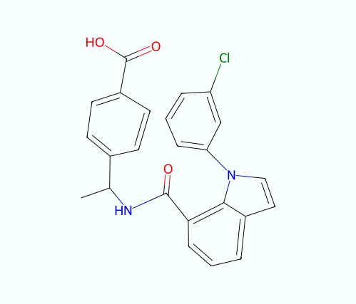 CC(NC(=O)c1cccc2ccn(-c3cccc(Cl)c3)c12)c1ccc(C(=O)O)cc1